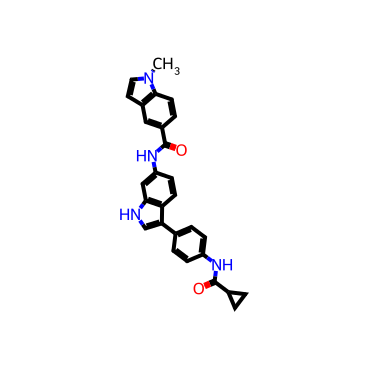 Cn1ccc2cc(C(=O)Nc3ccc4c(-c5ccc(NC(=O)C6CC6)cc5)c[nH]c4c3)ccc21